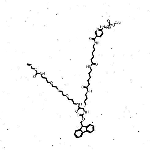 C=CCOC(=O)NCCCOCCOCCOCCCNC(=O)[C@H](CCCCNC(=O)CCCCCNC(=O)CCCCCNC(=O)c1ccc(NNC(=O)OC(C)(C)C)nc1)NC(=O)OCC1c2ccccc2-c2ccccc21